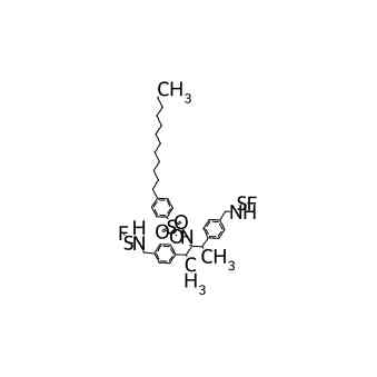 CCCCCCCCCCCCc1ccc(S(=O)(=O)ON=C(C(C)c2ccc(CNSF)cc2)C(C)c2ccc(CNSF)cc2)cc1